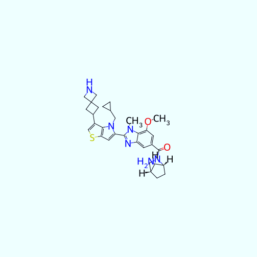 COc1cc(C(=O)N2C[C@H]3CC[C@@H]2[C@@H]3N)cc2nc(-c3cc4scc(C5CC6(CNC6)C5)c4n3CC3CC3)n(C)c12